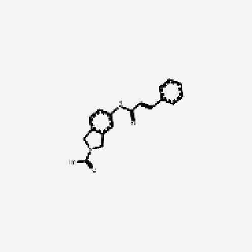 O=C(C=Cc1ccccc1)Nc1ccc2c(c1)CN(C(=O)O)C2